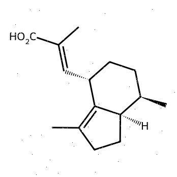 CC(=C[C@@H]1CC[C@@H](C)[C@H]2CCC(C)=C12)C(=O)O